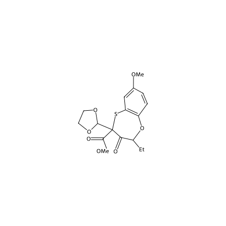 CCC1Oc2ccc(OC)cc2SC(C(=O)OC)(C2OCCO2)C1=O